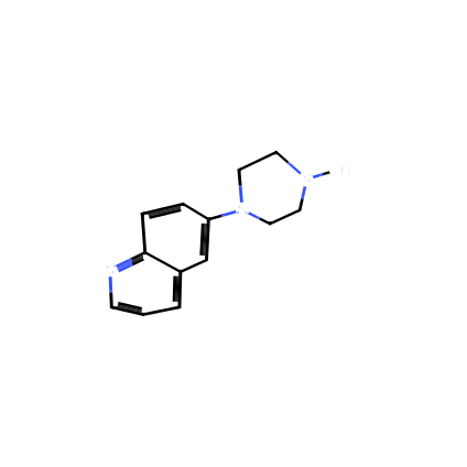 O=CN1CCN(c2ccc3ncccc3c2)CC1